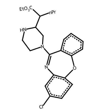 CCCC(C(=O)OCC)C1CN(C2=Nc3cc(Cl)ccc3Oc3ccccc32)CCN1